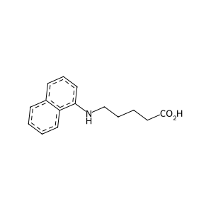 O=C(O)CCCCNc1cccc2ccccc12